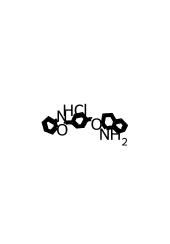 Cl.NC1c2ccccc2CCC1OCc1ccc(-c2nc3ccccc3o2)cc1